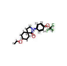 CCOC1CCC2(CC1)CCN(c1ccc(OC(F)(F)F)cc1)C2=O